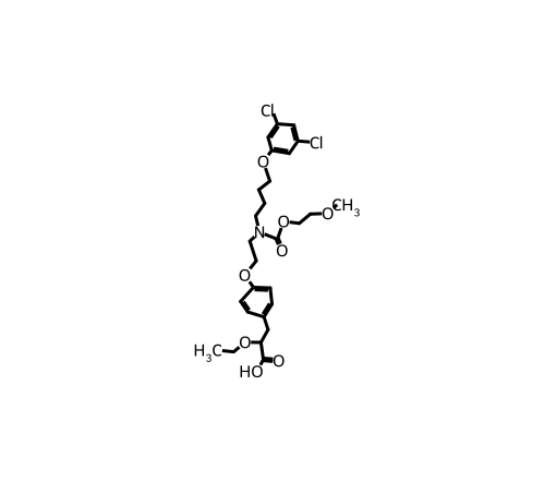 CCOC(Cc1ccc(OCCN(CCCCOc2cc(Cl)cc(Cl)c2)C(=O)OCCOC)cc1)C(=O)O